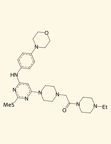 CCN1CCN(C(=O)CN2CCN(c3cc(Nc4ccc(N5CCOCC5)cc4)nc(SC)n3)CC2)CC1